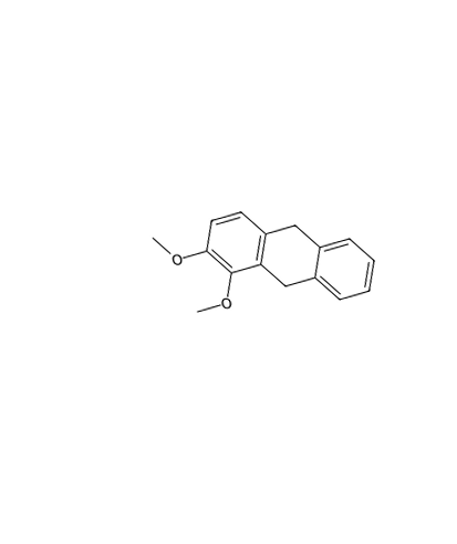 COc1ccc2c(c1OC)Cc1ccccc1C2